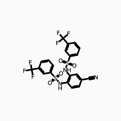 N#Cc1ccc(NS(=O)(=O)c2cccc(C(F)(F)F)c2)c(NS(=O)(=O)c2cccc(C(F)(F)F)c2)c1